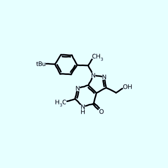 Cc1nc2c(c(CO)nn2C(C)c2ccc(C(C)(C)C)cc2)c(=O)[nH]1